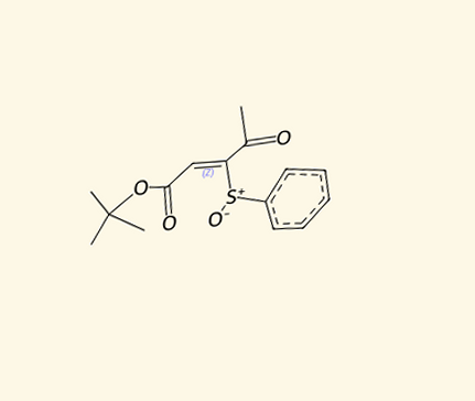 CC(=O)/C(=C/C(=O)OC(C)(C)C)[S+]([O-])c1ccccc1